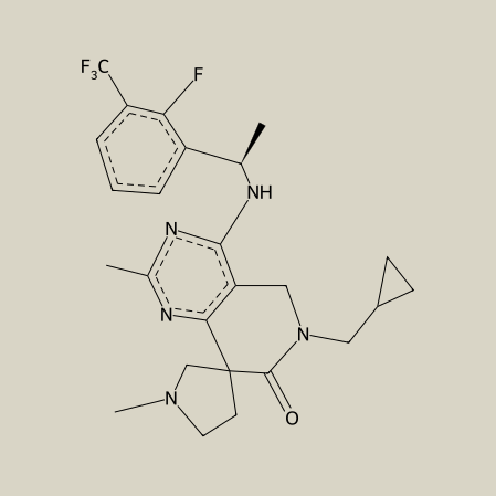 Cc1nc(N[C@H](C)c2cccc(C(F)(F)F)c2F)c2c(n1)C1(CCN(C)C1)C(=O)N(CC1CC1)C2